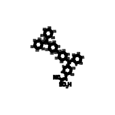 N#C/C(=C\c1ccc(N(c2ccccc2)c2ccc(-c3ccc(N(c4ccccc4)c4ccccc4)cc3)cc2)cc1)S(=O)(=O)O